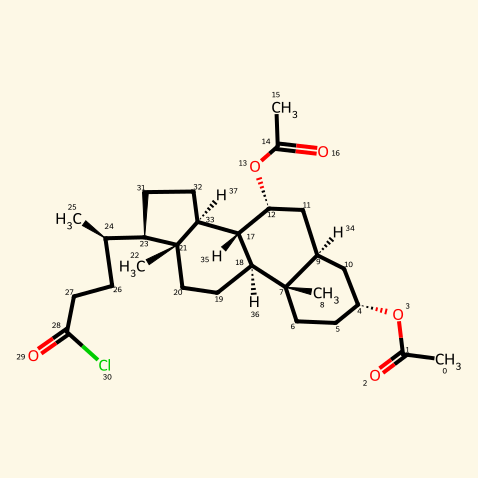 CC(=O)O[C@@H]1CC[C@@]2(C)[C@H](C1)C[C@@H](OC(C)=O)[C@@H]1[C@@H]2CC[C@]2(C)[C@@H]([C@H](C)CCC(=O)Cl)CC[C@@H]12